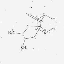 CCCC1(CCC)C(=O)C2CCN1CC2